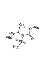 CCCCNC(C)N(C(=O)OC(C)(C)C)S(C)(=O)=O